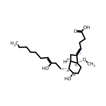 CCCCCCC=C(O)CC[C@H]1[C@H](O)CC[C@]2(OC)/C(=C/CCC(=O)O)C[C@H]12